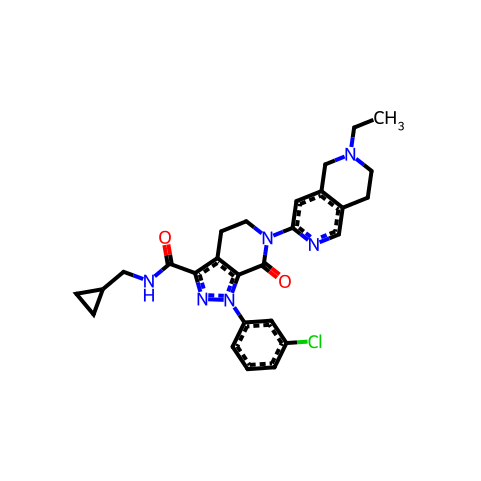 CCN1CCc2cnc(N3CCc4c(C(=O)NCC5CC5)nn(-c5cccc(Cl)c5)c4C3=O)cc2C1